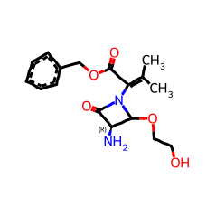 CC(C)=C(C(=O)OCc1ccccc1)N1C(=O)[C@H](N)C1OCCO